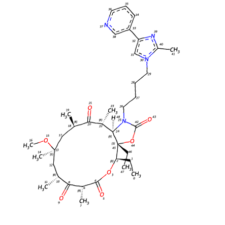 CC[C@H]1OC(=O)[C@H](C)C(=O)[C@H](C)C[C@@](C)(OC)C[C@@H](C)C(=O)[C@H](C)[C@H]2N(CCCCn3cc(-c4cccnc4)nc3C)C(=O)O[C@]12CC